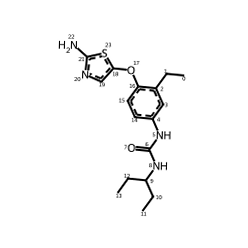 CCc1cc(NC(=O)NC(CC)CC)ccc1Oc1cnc(N)s1